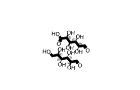 O=C[C@@H](O)[C@@H](O)[C@H](O)[C@H](O)CO.O=C[C@H](O)[C@@H](O)[C@@H](O)[C@H](O)C(=O)O